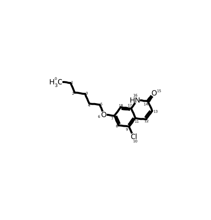 CCCCCCOc1cc(Cl)c2ccc(=O)[nH]c2c1